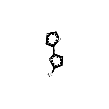 Cc1ccc(-c2cnco2)s1